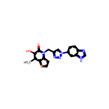 O=C(O)c1c(O)c(=O)n(Cc2cn(-c3ccc4nc[nH]c4c3)nn2)c2ccsc12